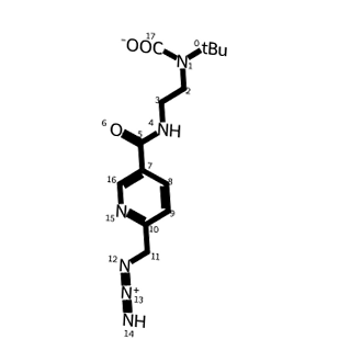 CC(C)(C)N(CCNC(=O)c1ccc(CN=[N+]=N)nc1)C(=O)[O-]